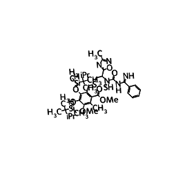 COC(=O)c1c(C)c(OC)c(O[SiH](C)C(C)(C)C(C)C)c(O[SiH](C)C(C)(C)C(C)C)c1CSCC(c1nc(C)no1)N(S)C(=O)NC(=N)c1ccccc1